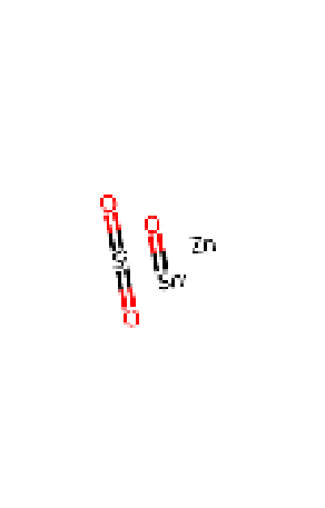 O=[Si]=O.[O]=[Sn].[Zn]